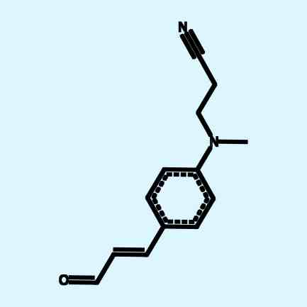 CN(CCC#N)c1ccc(/C=C/C=O)cc1